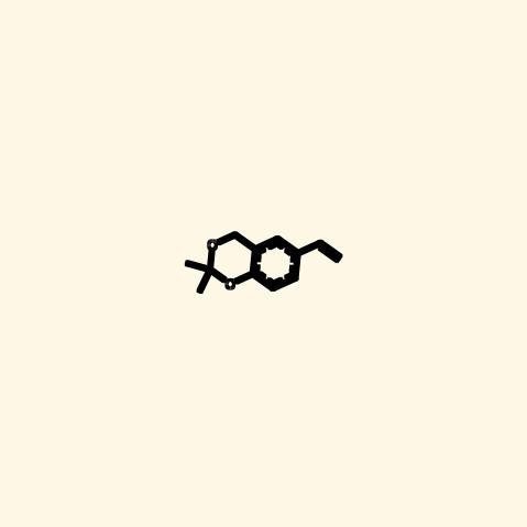 C=Cc1ccc2c(c1)COC(C)(C)O2